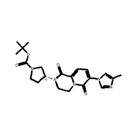 Cc1cn(-c2ccc3n(c2=O)CCN([C@@H]2CCN(C(=O)OC(C)(C)C)C2)C3=O)cn1